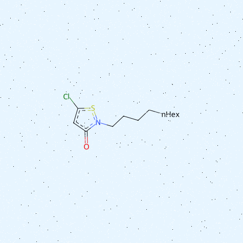 CCCCCCCCCCn1sc(Cl)cc1=O